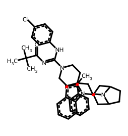 Cc1nc2ccccc2n1C1CC2CCC(C1)N2CCC1(c2ccccc2)CCN(C(=NC(=O)C(C)(C)C)Nc2ccc(Cl)cc2)CC1